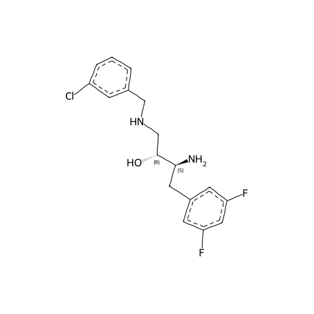 N[C@@H](Cc1cc(F)cc(F)c1)[C@H](O)CNCc1cccc(Cl)c1